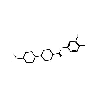 CC[SiH2]C1CCC(C2CCC(C(=O)Oc3ccc(F)c(F)c3)CC2)CC1